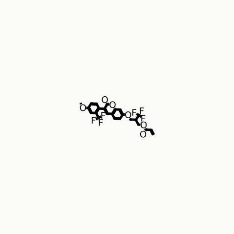 C=CC(=O)OCC(COc1ccc2cc(-c3ccc(OC)cc3C(F)(F)F)c(=O)oc2c1)C(F)(F)F